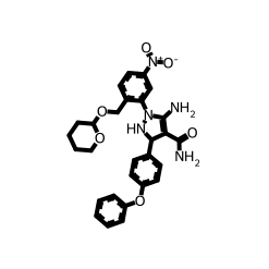 NC(=O)C1=C(N)N(c2cc([N+](=O)[O-])ccc2COC2CCCCO2)NC1c1ccc(Oc2ccccc2)cc1